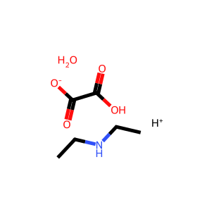 CCNCC.O.O=C([O-])C(=O)O.[H+]